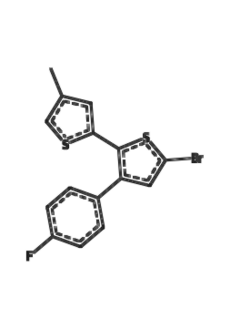 Cc1csc(-c2sc(Br)cc2-c2ccc(F)cc2)c1